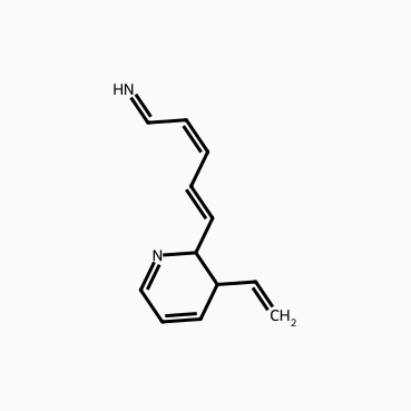 C=CC1C=CC=NC1/C=C/C=C\C=N